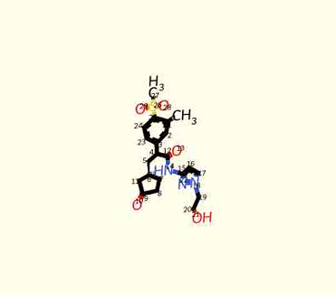 Cc1cc(C(C[C@H]2CCC(=O)C2)C(=O)Nc2ccn(CCO)n2)ccc1S(C)(=O)=O